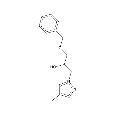 Cc1cnn(CC(O)COCc2ccccc2)c1